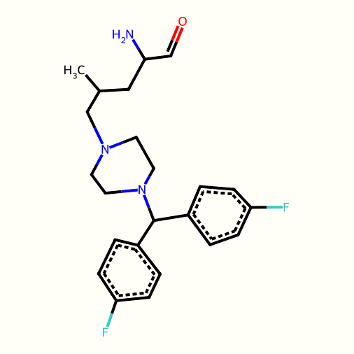 CC(CC(N)C=O)CN1CCN(C(c2ccc(F)cc2)c2ccc(F)cc2)CC1